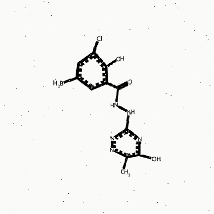 Bc1cc(Cl)c(O)c(C(=O)NNc2nnc(C)c(O)n2)c1